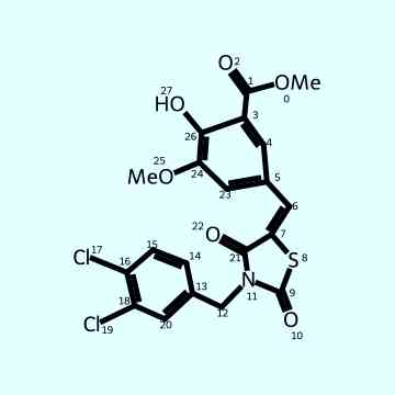 COC(=O)c1cc(C=C2SC(=O)N(Cc3ccc(Cl)c(Cl)c3)C2=O)cc(OC)c1O